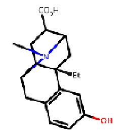 CC[C@]12CC3C(C(=O)O)CC1C(Cc1ccc(O)cc12)N3C